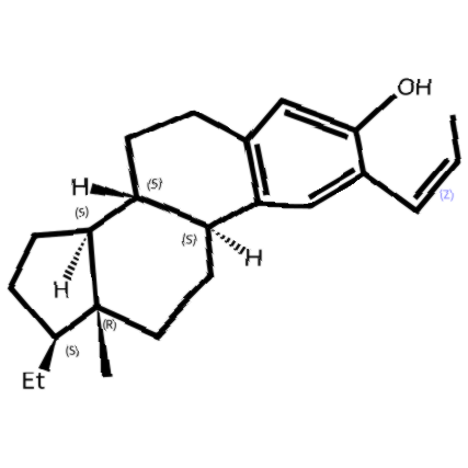 C/C=C\c1cc2c(cc1O)CC[C@@H]1[C@@H]2CC[C@]2(C)[C@@H](CC)CC[C@@H]12